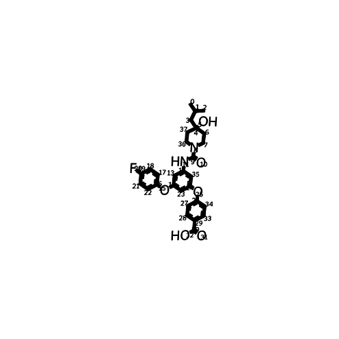 CC(C)CC1(O)CCN(C(=O)Nc2cc(Oc3ccc(F)cc3)cc(Oc3ccc(C(=O)O)cc3)c2)CC1